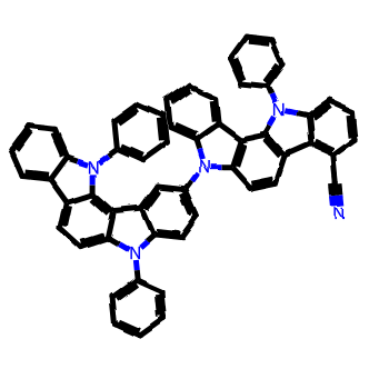 N#Cc1cccc2c1c1ccc3c(c4ccccc4n3-c3ccc4c(c3)c3c(ccc5c6ccccc6n(-c6ccccc6)c53)n4-c3ccccc3)c1n2-c1ccccc1